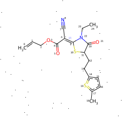 C=CCOC(=O)/C(C#N)=C1\SC(CCc2ccc(C)s2)C(=O)N1CC